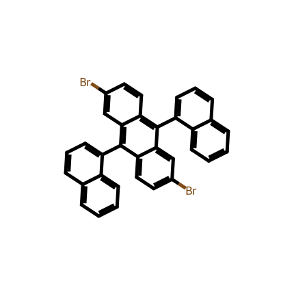 Brc1ccc2c(-c3cccc4ccccc34)c3cc(Br)ccc3c(-c3cccc4ccccc34)c2c1